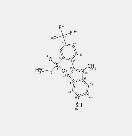 CCS(=O)(=O)c1cc(C(F)(F)F)cnc1-c1nc2cc(S)ncc2n1C